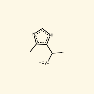 [CH2]C(C(=O)O)c1[nH]cnc1C